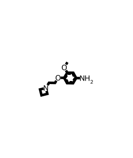 COc1cc(N)ccc1OCCN1CCC1